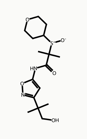 CC(C)(CO)c1cc(NC(=O)C(C)(C)[S+]([O-])C2CCOCC2)on1